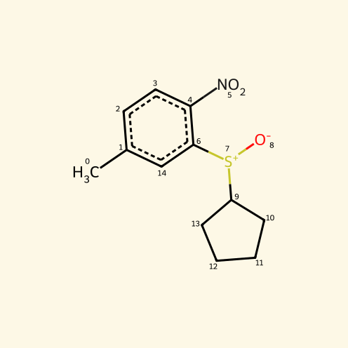 Cc1ccc([N+](=O)[O-])c([S+]([O-])C2CCCC2)c1